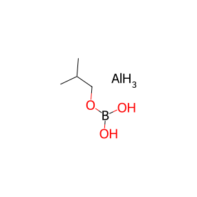 CC(C)COB(O)O.[AlH3]